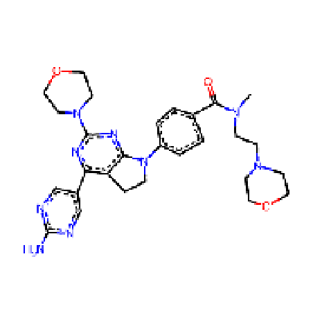 CN(CCN1CCOCC1)C(=O)c1ccc(N2CCc3c(-c4cnc(N)nc4)nc(N4CCOCC4)nc32)cc1